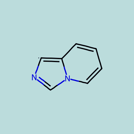 [c]1ncn2ccccc12